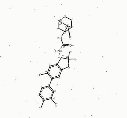 Cc1ccc(-c2cc3c(cc2F)[C@H](NC(=O)O[C@@H]2CN4CCC2CC4)C(C)(C)C3)cc1Cl